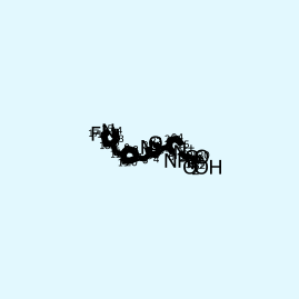 Nc1c(-c2cc(Cc3ccc(Cc4ccnc(F)c4)cc3)no2)ccc[n+]1COP(=O)([O-])O